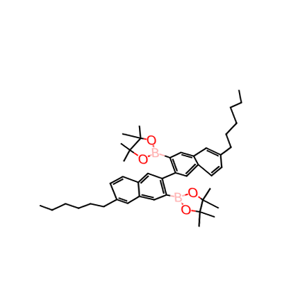 CCCCCCc1ccc2cc(-c3cc4ccc(CCCCCC)cc4cc3B3OC(C)(C)C(C)(C)O3)c(B3OC(C)(C)C(C)(C)O3)cc2c1